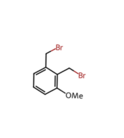 COc1cccc(CBr)c1CBr